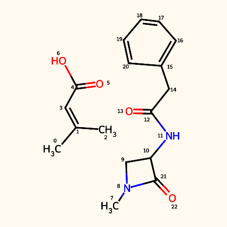 CC(C)=CC(=O)O.CN1CC(NC(=O)Cc2ccccc2)C1=O